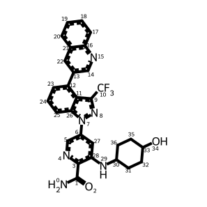 NC(=O)c1ncc(-n2nc(C(F)(F)F)c3c(-c4cnc5ccccc5c4)cccc32)cc1NC1CCC(O)CC1